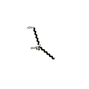 CCCCCCCCCCCCCCCCCCCCOS(=O)(=O)CCCCCCCCCCF.CNC